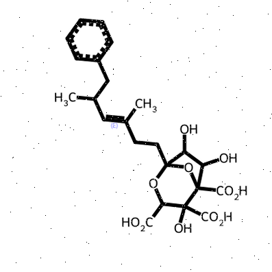 C/C(=C\C(C)Cc1ccccc1)CCC12OC(C(=O)O)C(O)(C(=O)O)C(C(=O)O)(O1)C(O)C2O